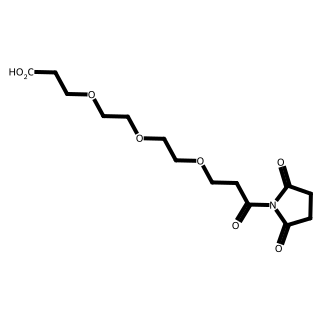 O=C(O)CCOCCOCCOCCC(=O)N1C(=O)CCC1=O